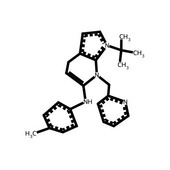 Cc1ccc(NC2=CCc3ccn(C(C)(C)C)c3N2Cc2ccccn2)cc1